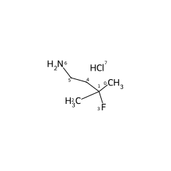 CC(C)(F)CCN.Cl